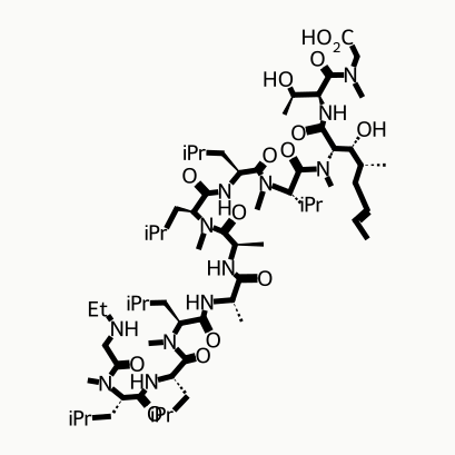 CC=CC[C@@H](C)[C@@H](O)[C@@H](C(=O)N[C@H](C(=O)N(C)CC(=O)O)[C@@H](C)O)N(C)C(=O)[C@H](C(C)C)N(C)C(=O)[C@H](CC(C)C)NC(=O)[C@H](CC(C)C)N(C)C(=O)[C@@H](C)NC(=O)[C@H](C)NC(=O)[C@H](CC(C)C)N(C)C(=O)[C@H](CC(C)C)NC(=O)[C@H](CC(C)C)N(C)C(=O)CNCC